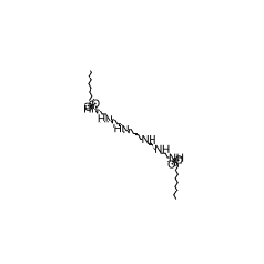 CCCCCCCCCS(=O)(=O)NCCCNCCCNCCCCNCCCNCCCNS(=O)(=O)CCCCCCCCC